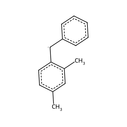 Cc1ccc([CH]c2ccccc2)c(C)c1